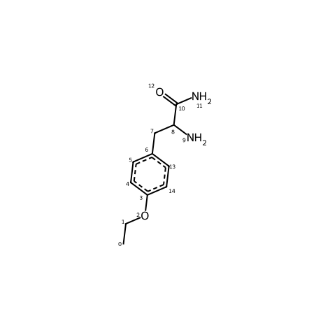 CCOc1ccc(CC(N)C(N)=O)cc1